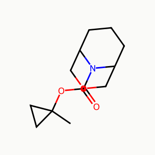 CC1(OC(=O)N2C3CCCC2COC3)CC1